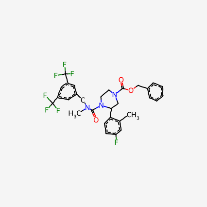 Cc1cc(F)ccc1C1CN(C(=O)OCc2ccccc2)CCN1C(=O)N(C)Cc1cc(C(F)(F)F)cc(C(F)(F)F)c1